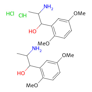 COc1ccc(OC)c(C(O)C(C)N)c1.COc1ccc(OC)c(C(O)C(C)N)c1.Cl.Cl